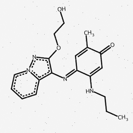 CCCNC1=CC(=O)C(C)=C/C1=N\c1c(OCCO)nn2ccccc12